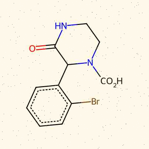 O=C1NCCN(C(=O)O)C1c1ccccc1Br